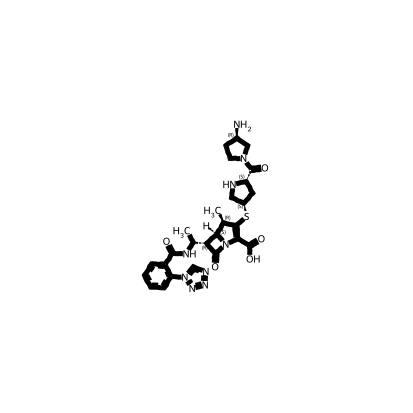 CC(NC(=O)c1ccccc1-n1cnnn1)[C@H]1C(=O)N2C(C(=O)O)=C(S[C@@H]3CN[C@H](C(=O)N4CC[C@@H](N)C4)C3)[C@H](C)[C@H]12